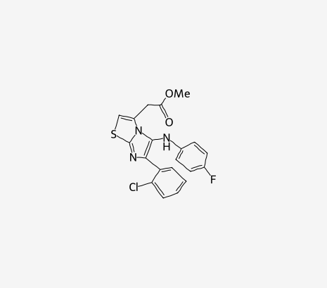 COC(=O)Cc1csc2nc(-c3ccccc3Cl)c(Nc3ccc(F)cc3)n12